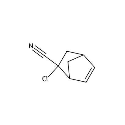 N#CC1(Cl)CC2C=CC1C2